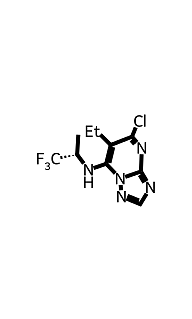 CCc1c(Cl)nc2ncnn2c1N[C@@H](C)C(F)(F)F